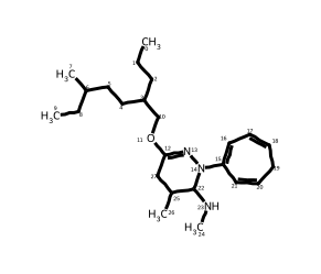 CCCC(CCC(C)CC)COC1=NN(C2=CC=CCC=C2)C(NC)C(C)C1